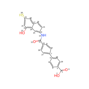 O=C(O)c1ccc(-c2ccc(C(=O)Nc3ccc4cc(S)cc(O)c4c3)cc2)cc1